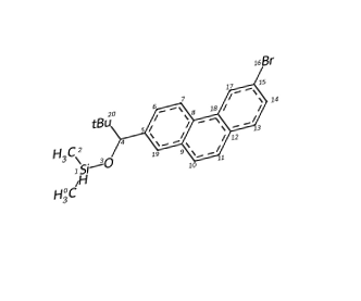 C[SiH](C)OC(c1ccc2c(ccc3ccc(Br)cc32)c1)C(C)(C)C